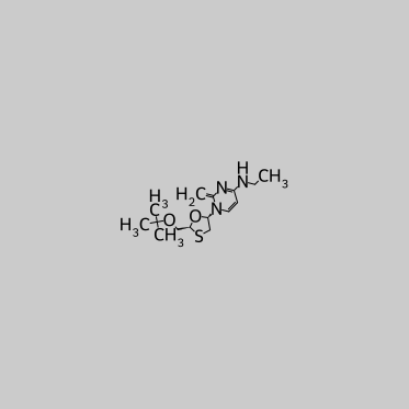 C=C1N=C(NCC)C=CN1[C@H]1CS[C@@H](COC(C)(C)C)O1